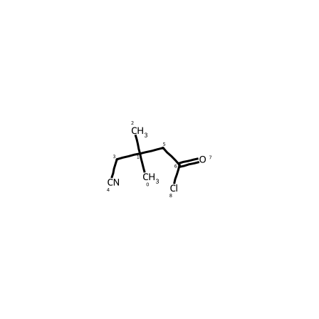 CC(C)(CC#N)CC(=O)Cl